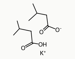 CC(C)CC(=O)O.CC(C)CC(=O)[O-].[K+]